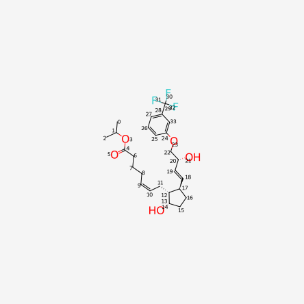 CC(C)OC(=O)CCC/C=C\C[C@H]1[C@@H](O)CC[C@@H]1/C=C/[C@@H](O)COc1cccc(C(F)(F)F)c1